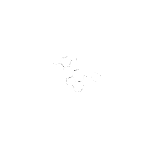 Nc1ccc(F)c(C(=O)c2c[nH]c3ncnc(NC4CCCC4)c23)c1F